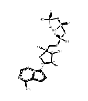 Cc1ncnn2c([C@@H]3O[C@](C#N)(COP(=O)(O)OP(=O)(O)OP(=O)(O)O)[C@@H](O)[C@H]3F)ccc12